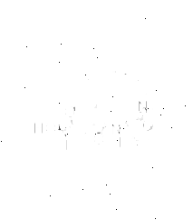 CC[C@H](C)C1NC(=O)C(CC(=O)NO)CCCCCCCCN(C)C1=O